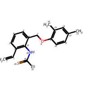 C=Cc1cccc(COc2ccc(C)cc2C)c1NC(=S)CC